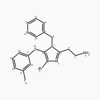 CC(C)c1nc(CCN)n(Cc2cccnc2)c1Sc1cccc(F)c1